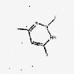 CC1=NN(F)NC(F)=C1